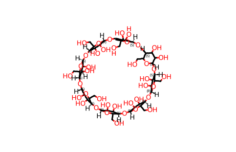 OCC1O[C@@H]2O[C@@H]3C(CO)O[C@@H](O[C@@H]4C(CO)O[C@H](O[C@H]5C(CO)O[C@H](O[C@@H]6C(CO)O[C@H](O[C@@H]7C(CO)O[C@@H](O[C@@H]8C(CO)O[C@@H](O[C@@H]9C(CO)O[C@H](OC1=C(O)C2O)C(O)C9O)C(O)[C@H]8O)C(O)C7O)C(O)C6O)C(O)C5O)C(O)C4O)C(O)C3O